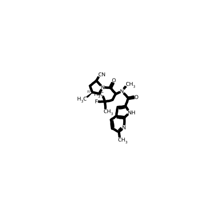 Cc1ccc2cc(C(=O)N(C)C(CC(C)(C)F)C(=O)N3C[C@@H](C)CC3C#N)[nH]c2n1